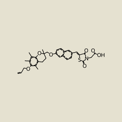 C=CCOc1c(C)c(C)c2c(c1C)CCC(C)(COc1ccc3cc(/C=C4\SC(=O)N(CC(=O)O)C4=O)ccc3c1)O2